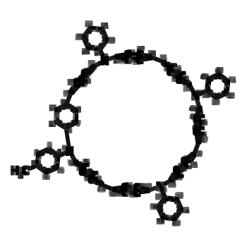 Cc1ccc(N2c3ccc(cc3)-c3ccc(cc3)N(c3ccccc3)c3ccc(cc3)-c3ccc(cc3)N(c3ccccc3)c3ccc(cc3)-c3ccc(cc3)N(c3ccccc3)c3ccc(cc3)-c3ccc2cc3)cc1